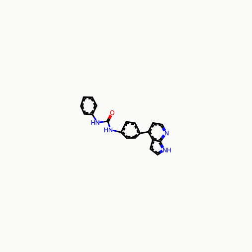 O=C(Nc1ccccc1)Nc1ccc(-c2ccnc3[nH]ccc23)cc1